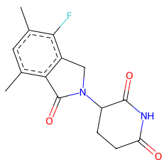 Cc1cc(C)c2c(c1F)CN(C1CCC(=O)NC1=O)C2=O